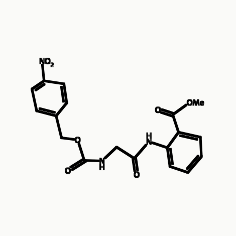 COC(=O)c1ccccc1NC(=O)CNC(=O)OCc1ccc([N+](=O)[O-])cc1